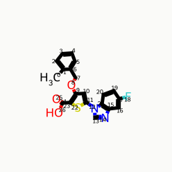 Cc1ccccc1COc1cc(-n2cnc3cc(F)ccc32)sc1C(=O)O